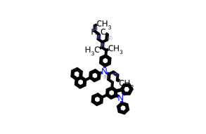 C=C/C=C\C(=C/Cc1cc(-c2ccccc2)cc2c1c1ccccc1n2-c1ccccc1)N(c1ccc(-c2cccc3ccccc23)cc1)c1ccc(C(C)/C(C)=C(\C=C/C)/C=C/C=C\C)cc1